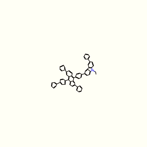 CCn1c2ccc(-c3ccccc3)cc2c2cc(-c3ccc(-c4c5ccc(-c6ccccc6)cc5c(-c5ccc(-c6ccccc6)cc5)c5ccc(-c6ccccc6)cc45)cc3)ccc21